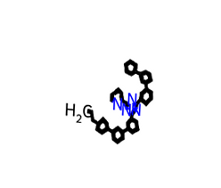 C=CCc1ccc(-c2cccc(-c3cccc(-c4nc(-c5cccc(-c6cccc(-c7ccccc7)c6)c5)nc(-c5ccccn5)n4)c3)c2)cc1